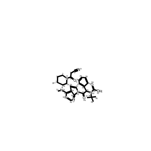 C[C@@H]1CCN(C(=O)CC#N)C[C@@H]1N(C)c1ncnc2c1ccn2C(=O)C(c1ccccc1)N(C(=O)O)C(C)(C)C